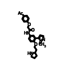 CC(=O)c1ccc(OCC(=O)Nc2ccc(OCCC3CCCN3)c(-c3ccnn3C)c2)cc1